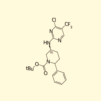 CC(C)(C)OC(=O)N1C[C@@H](Nc2ncc(C(F)(F)F)c(Cl)n2)CCC1c1ccccc1